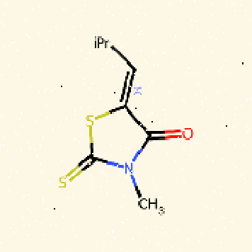 CC(C)/C=C1\SC(=S)N(C)C1=O